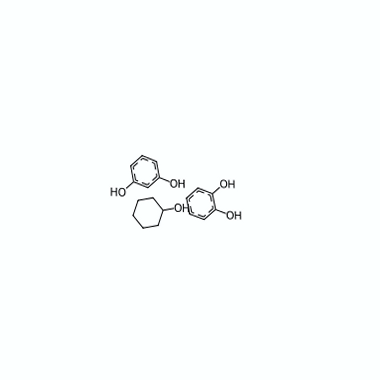 OC1CCCCC1.Oc1cccc(O)c1.Oc1ccccc1O